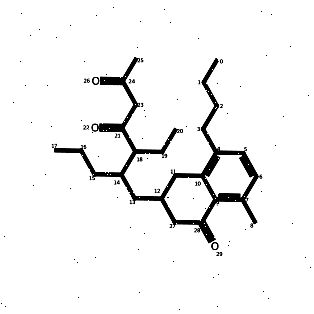 CCCCc1ccc(C)c2c1CC(CC(CCC)C(CC)C(=O)CC(C)=O)CC2=O